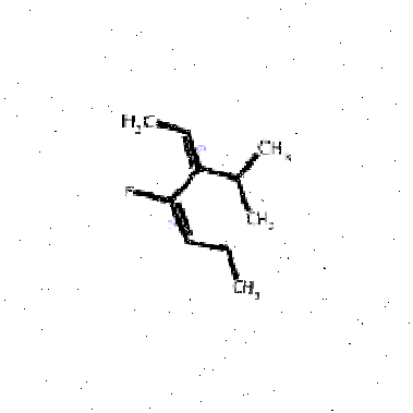 C/C=C(\C(F)=C/CC)C(C)C